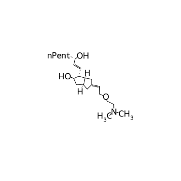 CCCCC[C@H](O)/C=C/[C@@H]1[C@H]2C/C(=C/COCCN(C)C)C[C@H]2C[C@H]1O